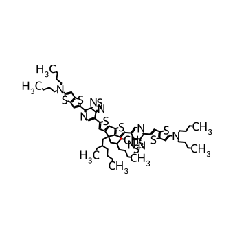 CCCCC(CC)CC1(CC(CC)CCCC)c2cc(-c3cnc(-c4cc5sc(N(CCCC)CCCC)cc5s4)c4nsnc34)sc2-c2sc(-c3cnc(-c4cc5sc(N(CCCC)CCCC)cc5s4)c4nsnc34)cc21